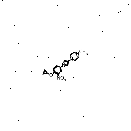 CN1CCN(C2CN(c3ccc(OC4CC4)c([N+](=O)[O-])c3)C2)CC1